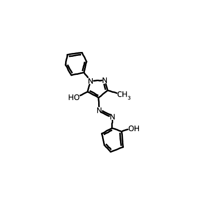 Cc1nn(-c2ccccc2)c(O)c1/N=N/c1ccccc1O